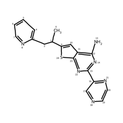 CC(Cc1ccccn1)c1cc2c(N)nc(-c3cnccn3)nc2s1